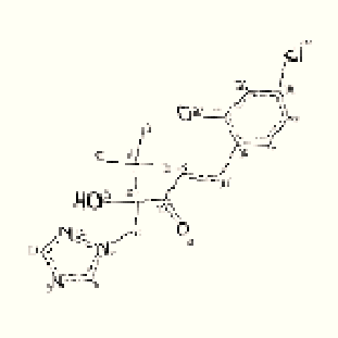 CC(C)(C)C(O)(Cn1cncn1)C(=O)C=Cc1ccc(Cl)cc1Cl